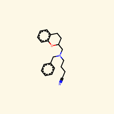 N#CCCCN(Cc1ccccc1)CC1CCc2ccccc2O1